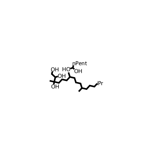 CC(C)CCCC(C)CCCC(C)CCCC(C)(O)C(O)CO.CCCCCC(O)O